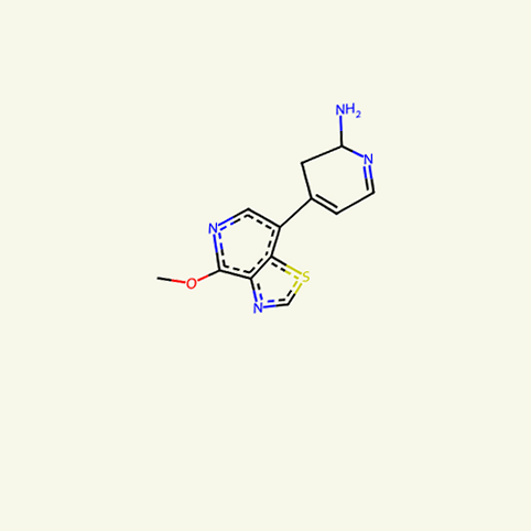 COc1ncc(C2=CC=NC(N)C2)c2scnc12